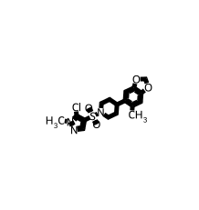 Cc1cc2c(cc1C1CCN(S(=O)(=O)c3cnn(C)c3Cl)CC1)OCO2